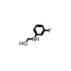 OCNc1cccc(F)c1